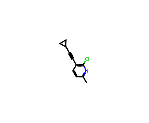 Cc1ccc(C#CC2CC2)c(Cl)n1